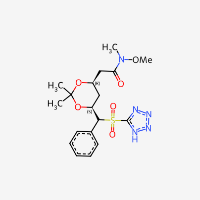 CON(C)C(=O)C[C@H]1C[C@@H](C(c2ccccc2)S(=O)(=O)c2nnn[nH]2)OC(C)(C)O1